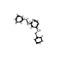 [c]1cc(OCc2ccccc2)cc(OCc2ccccc2)n1